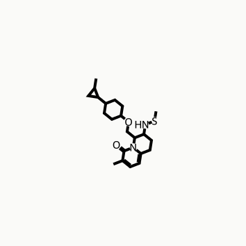 CSNC1CCc2ccc(C)c(=O)n2C1COC1CCC(C2CC2C)CC1